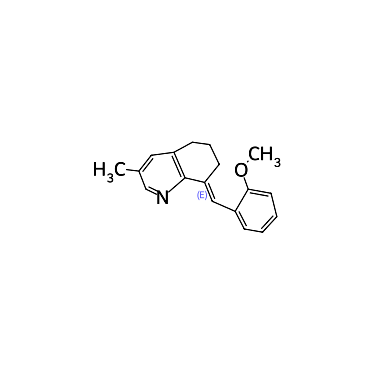 COc1ccccc1/C=C1\CCCc2cc(C)cnc21